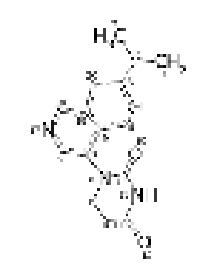 CC(C)c1ccc2c(N3CCC(=O)NC3=O)cncc2c1